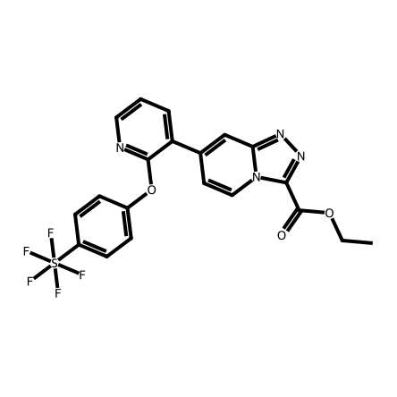 CCOC(=O)c1nnc2cc(-c3cccnc3Oc3ccc(S(F)(F)(F)(F)F)cc3)ccn12